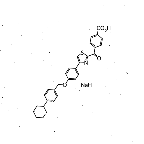 O=C(O)c1ccc(C(=O)c2nc(-c3ccc(OCc4ccc(C5CCCCC5)cc4)cc3)cs2)cc1.[NaH]